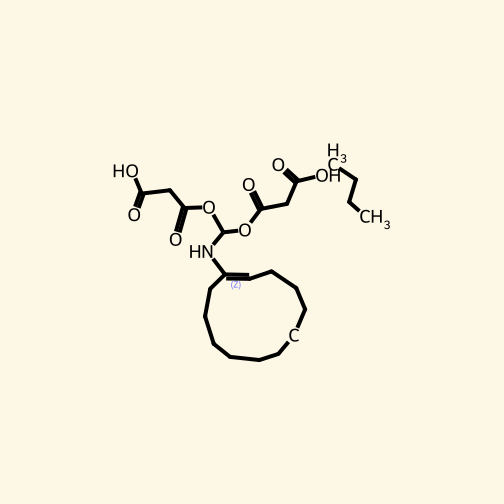 CCCC.O=C(O)CC(=O)OC(N/C1=C\CCCCCCCCCC1)OC(=O)CC(=O)O